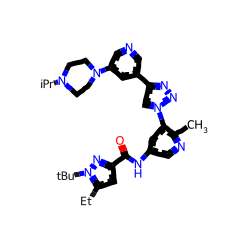 CCc1cc(C(=O)Nc2cnc(C)c(-n3cc(-c4cncc(N5CCN(C(C)C)CC5)c4)nn3)c2)nn1C(C)(C)C